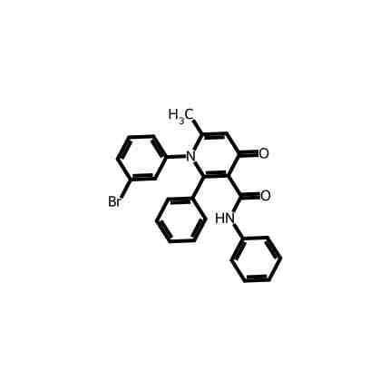 Cc1cc(=O)c(C(=O)Nc2ccccc2)c(-c2ccccc2)n1-c1cccc(Br)c1